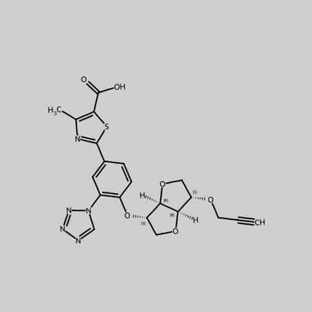 C#CCO[C@H]1CO[C@H]2[C@@H]1OC[C@@H]2Oc1ccc(-c2nc(C)c(C(=O)O)s2)cc1-n1cnnn1